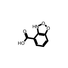 O=C(O)c1cccc2c1NOO2